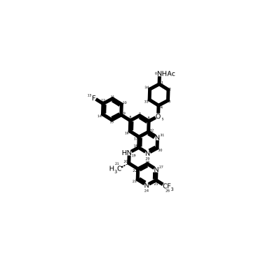 CC(=O)NC1CCC(Oc2cc(-c3ccc(F)cc3)cc3c(N[C@@H](C)c4cnc(C(F)(F)F)nc4)ncnc23)CC1